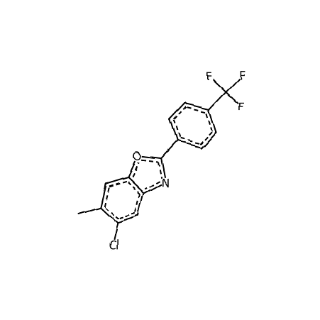 Cc1cc2oc(-c3ccc(C(F)(F)F)cc3)nc2cc1Cl